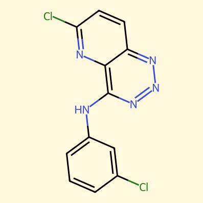 Clc1cccc(Nc2nnnc3ccc(Cl)nc23)c1